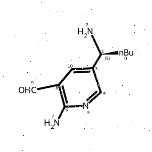 CCCC[C@H](N)c1cnc(N)c(C=O)c1